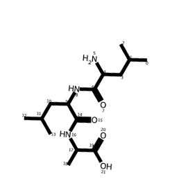 CC(C)CC(N)C(=O)NC(CC(C)C)C(=O)NC(C)C(=O)O